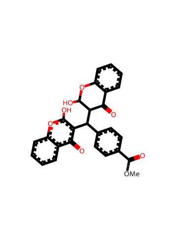 COC(=O)c1ccc(C(c2c(O)oc3ccccc3c2=O)C2C(=O)c3ccccc3OC2O)cc1